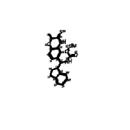 CC1Oc2ccc(C(NC(=O)OC(C)(C)C)C3CCc4ccccc43)cc2NC1=S